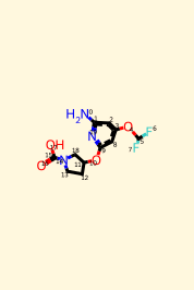 Nc1cc(OC(F)F)cc(OC2CCN(C(=O)O)C2)n1